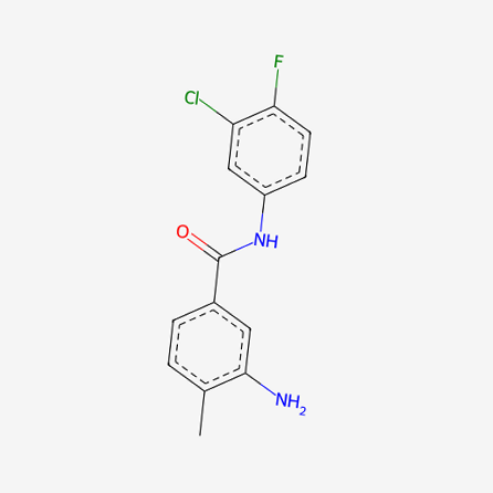 Cc1ccc(C(=O)Nc2ccc(F)c(Cl)c2)cc1N